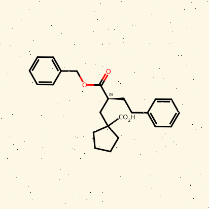 O=C(OCc1ccccc1)[C@@H](CCc1ccccc1)CC1(C(=O)O)CCCC1